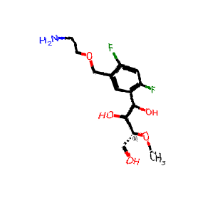 CO[C@H](CO)C(O)C(O)c1cc(COCCN)c(F)cc1F